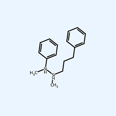 C[SiH](CCCc1ccccc1)[SiH](C)c1ccccc1